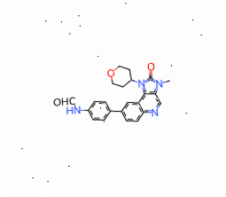 Cn1c(=O)n(C2CCOCC2)c2c3cc(-c4ccc(NC=O)cc4)ccc3ncc21